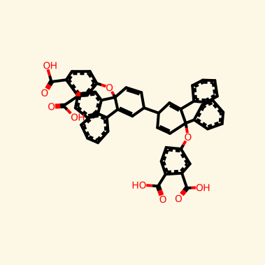 O=C(O)c1ccc(OC2(c3ccccc3)C=CC(C3C=CC(Oc4ccc(C(=O)O)c(C(=O)O)c4)(c4ccccc4)C(c4ccccc4)=C3)C=C2c2ccccc2)cc1C(=O)O